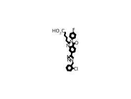 O=C(O)CCCCc1nc2cc(-c3cn(Cc4ccccc4Cl)nn3)ccc2c(=O)n1-c1ccc(F)cc1